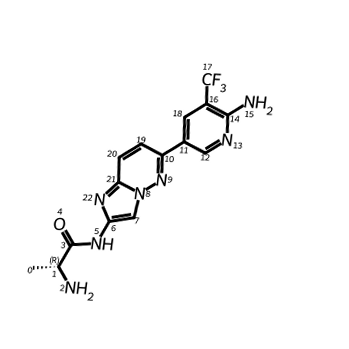 C[C@@H](N)C(=O)Nc1cn2nc(-c3cnc(N)c(C(F)(F)F)c3)ccc2n1